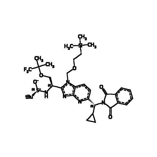 CC(C)(C)[S@@+]([O-])N[C@@H](COC(C)(C)C(F)(F)F)c1nc2nc([C@@H](C3CC3)N3C(=O)c4ccccc4C3=O)ccc2n1COCC[Si](C)(C)C